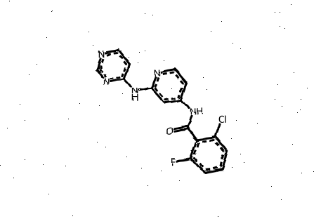 O=C(Nc1ccnc(Nc2ccncn2)c1)c1c(F)cccc1Cl